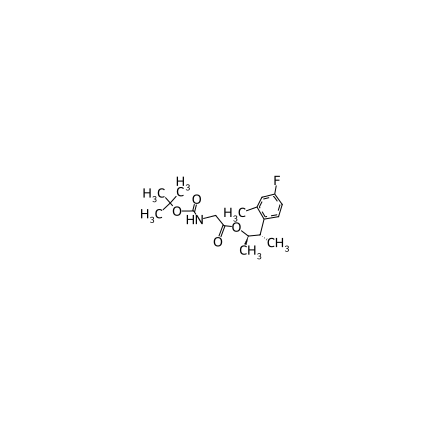 Cc1cc(F)ccc1[C@H](C)[C@@H](C)OC(=O)CNC(=O)OC(C)(C)C